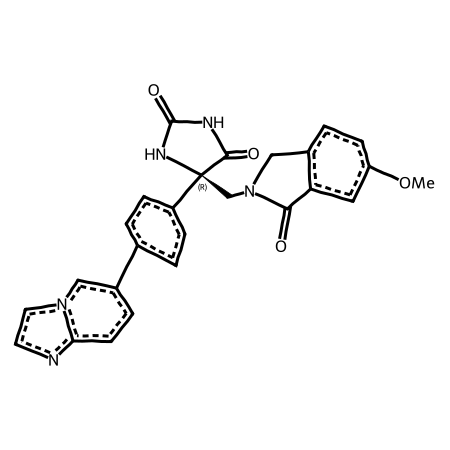 COc1ccc2c(c1)C(=O)N(C[C@@]1(c3ccc(-c4ccc5nccn5c4)cc3)NC(=O)NC1=O)C2